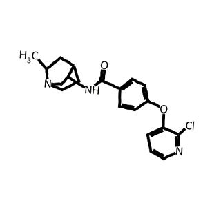 CC1CC2CCN1CC2NC(=O)c1ccc(Oc2cccnc2Cl)cc1